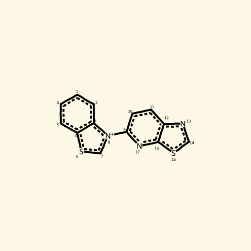 c1ccc2c(c1)sc[n+]2-c1ccc2ncsc2n1